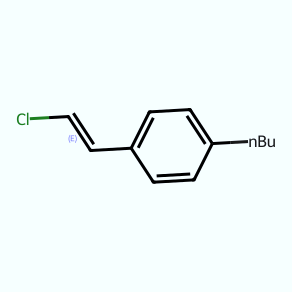 CCCCc1ccc(/C=C/Cl)cc1